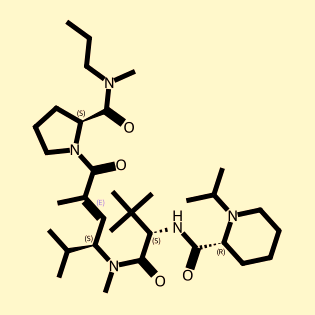 CCCN(C)C(=O)[C@@H]1CCCN1C(=O)/C(C)=C/[C@H](C(C)C)N(C)C(=O)[C@@H](NC(=O)[C@H]1CCCCN1C(C)C)C(C)(C)C